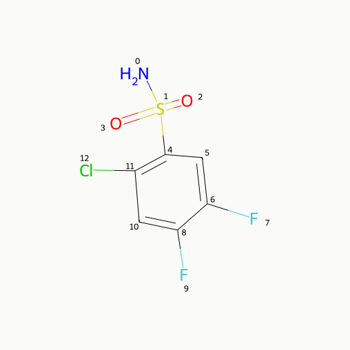 NS(=O)(=O)c1cc(F)c(F)cc1Cl